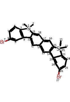 C[Si]1(C)c2ccc(Br)cc2-c2cc3cc4c(cc3cc21)[Si](C)(C)c1ccc(Br)cc1-4